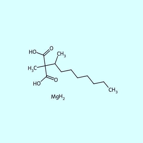 CCCCCCCC(C)C(C)(C(=O)O)C(=O)O.[MgH2]